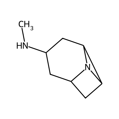 CNC1CC2CC3C(C1)N23